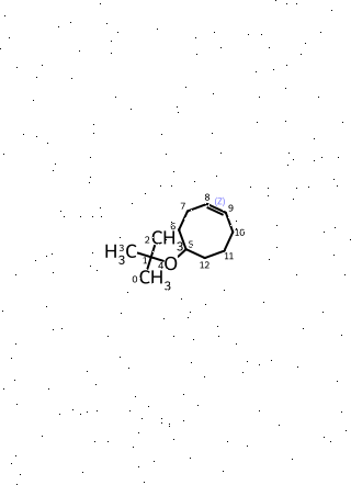 CC(C)(C)OC1CC/C=C\CCC1